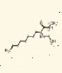 C=CCCCCCC[C@H](NCO)C(=O)NC